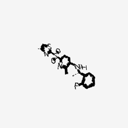 Cc1nc(S(=O)(=O)c2n[c]cs2)ccc1N[C@@H](C)c1ccccc1F